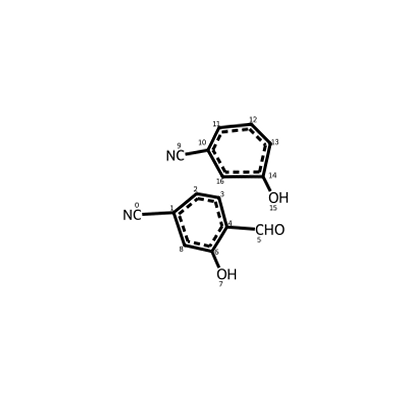 N#Cc1ccc(C=O)c(O)c1.N#Cc1cccc(O)c1